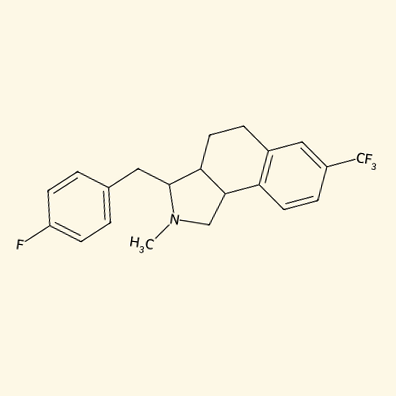 CN1CC2c3ccc(C(F)(F)F)cc3CCC2C1Cc1ccc(F)cc1